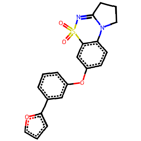 O=S1(=O)N=C2CCCN2c2ccc(Oc3cccc(-c4ccco4)c3)cc21